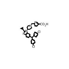 O=C(O)c1ccc(CN2CCC(n3c(C4CC4)nc4ccc(C(c5ccc(Cl)cc5)c5ccc(Cl)cc5)cc43)CC2)nc1